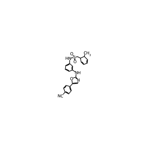 CC1C=CC=CC1CS(=O)(=O)Nc1cccc(Nc2ncc(-c3ccc(C#N)cc3)o2)c1